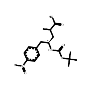 CC(C[C@H](Cc1ccc([N+](=O)[O-])cc1)NC(=O)OC(C)(C)C)C(=O)O